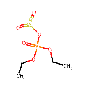 CCOP(=O)(OCC)O[SH](=O)=O